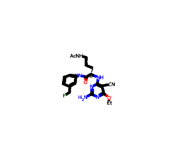 CCOc1nc(N)nc(N[C@@H](CCCNC(C)=O)C(=O)Nc2cccc(CF)c2)c1C#N